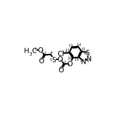 COC(=O)CSOC(=O)Oc1c(Cl)ccc2snnc12